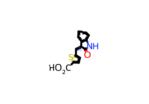 O=C1Nc2ccccc2/C1=C/c1ccc(C(=O)O)s1